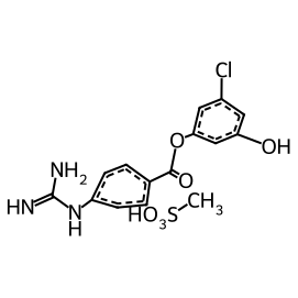 CS(=O)(=O)O.N=C(N)Nc1ccc(C(=O)Oc2cc(O)cc(Cl)c2)cc1